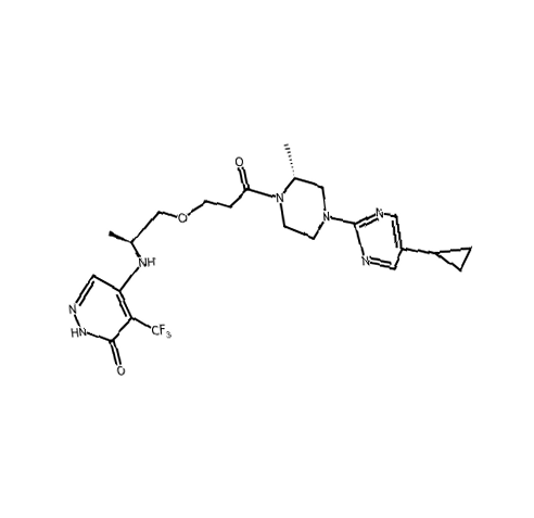 C[C@@H]1CN(c2ncc(C3CC3)cn2)CCN1C(=O)CCOC[C@H](C)Nc1cn[nH]c(=O)c1C(F)(F)F